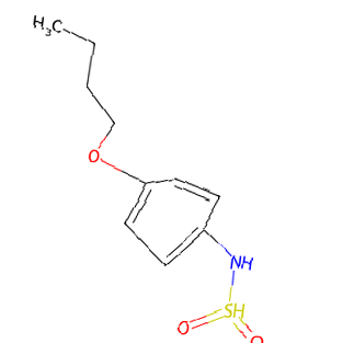 CCCCOc1ccc(N[SH](=O)=O)cc1